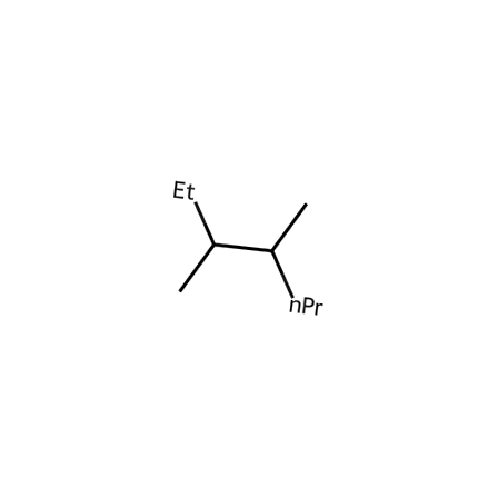 [CH2]CCC(C)C(C)CC